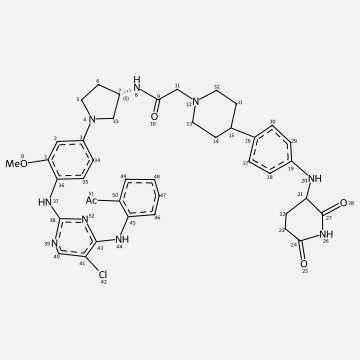 COc1cc(N2CC[C@H](NC(=O)CN3CCC(c4ccc(NC5CCC(=O)NC5=O)cc4)CC3)C2)ccc1Nc1ncc(Cl)c(Nc2ccccc2C(C)=O)n1